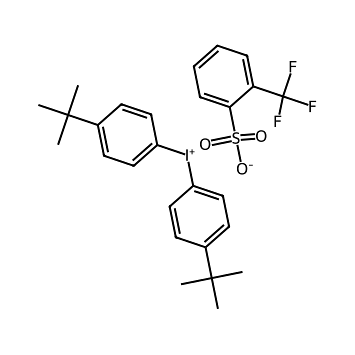 CC(C)(C)c1ccc([I+]c2ccc(C(C)(C)C)cc2)cc1.O=S(=O)([O-])c1ccccc1C(F)(F)F